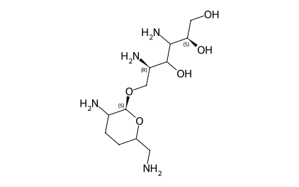 NCC1CCC(N)[C@@H](OC[C@@H](N)C(O)C(N)[C@H](O)CO)O1